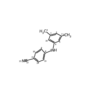 Cc1cc(C)cc(Nc2ccc(C#N)cc2)c1